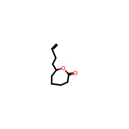 C=CCCC1CCCCC(=O)O1